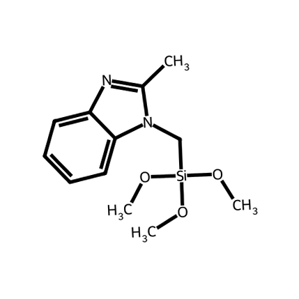 CO[Si](Cn1c(C)nc2ccccc21)(OC)OC